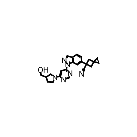 N#CC1(c2ccc3cnn(-c4cc(N5CCC(CO)C5)ncn4)c3c2)CC2(CC2)C1